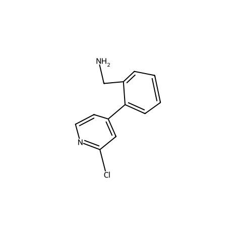 NCc1ccccc1-c1ccnc(Cl)c1